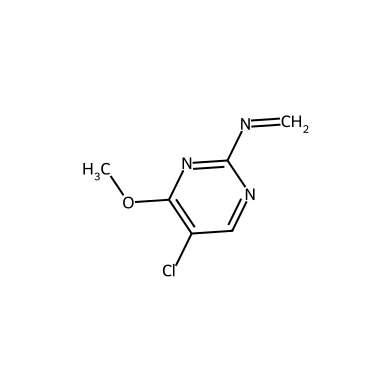 C=Nc1ncc(Cl)c(OC)n1